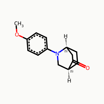 COc1ccc(N2C[C@@H]3CC[C@H]2CC3=O)cc1